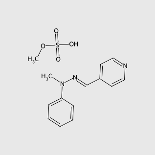 CN(/N=C/c1ccncc1)c1ccccc1.COS(=O)(=O)O